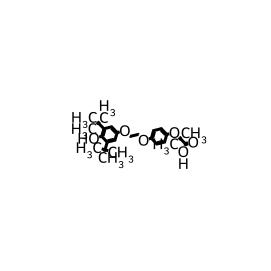 CC(C)(Oc1ccc(OCCOc2cc(C(C)(C)C)c(O)c(C(C)(C)C)c2)cc1)C(=O)O